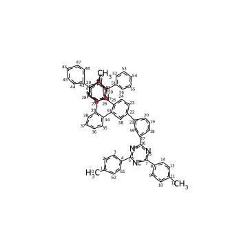 Cc1ccc(-c2nc(-c3ccc(C)cc3)nc(-c3cccc(-c4ccc(-c5cccc(C)n5)c(-c5ccccc5-c5nc(-c6ccccc6)nc(-c6ccccc6)n5)c4)c3)n2)cc1